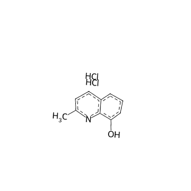 Cc1ccc2cccc(O)c2n1.Cl.Cl